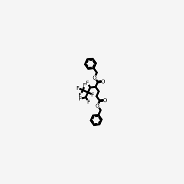 O=C(CCC(C(=O)OCc1ccccc1)C(F)C(F)(C(F)F)C(F)(F)F)OCc1ccccc1